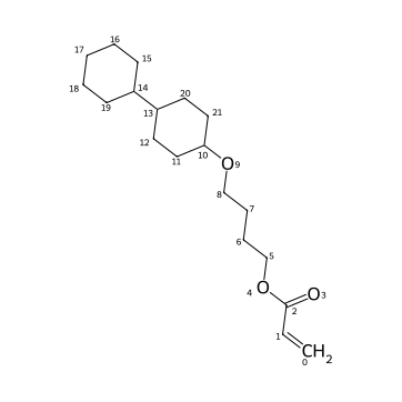 C=CC(=O)OCCCCOC1CCC(C2CCCCC2)CC1